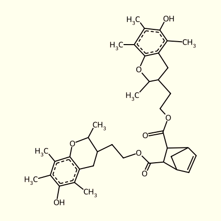 Cc1c(C)c2c(c(C)c1O)CC(CCOC(=O)C1C3C=CC(C3)C1C(=O)OCCC1Cc3c(C)c(O)c(C)c(C)c3OC1C)C(C)O2